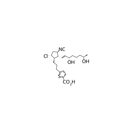 [C-]#[N+][C@@H]1C[C@@H](Cl)[C@H](CCCc2ccc(C(=O)O)s2)[C@H]1/C=C/[C@@H](O)CCC[C@@H](C)O